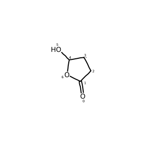 O=C1C[CH]C(O)O1